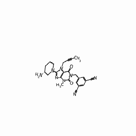 CC#CCn1c(N2CCC[C@@H](N)C2)nc2c1c(=O)n(Cc1cc(C#N)cc(C#N)c1)c(=O)n2C